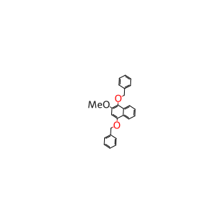 COc1cc(OCc2ccccc2)c2ccccc2c1OCc1ccccc1